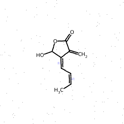 C=C1C(=O)OC(O)/C1=C/C=C\C